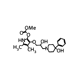 COC(=O)Oc1[nH]c(C)c(C)c1OCC(O)CN1CCC(O)(c2ccccc2)CC1